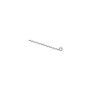 CCCCCCCCCCCCCCCCCCCCCCCC1CCCCC1